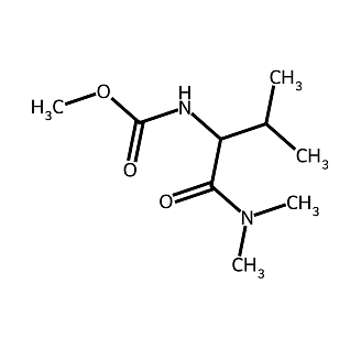 COC(=O)NC(C(=O)N(C)C)C(C)C